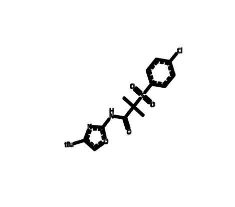 CC(C)(C)c1coc(NC(=O)C(C)(C)S(=O)(=O)c2ccc(Cl)cc2)n1